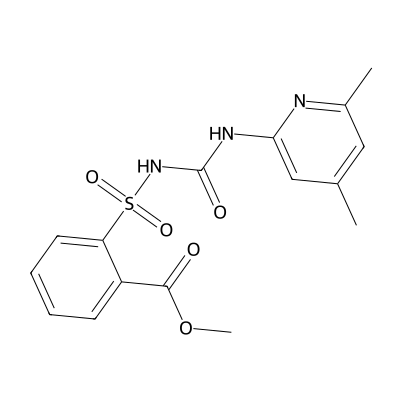 COC(=O)c1ccccc1S(=O)(=O)NC(=O)Nc1cc(C)cc(C)n1